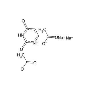 CC(=O)[O-].CC(=O)[O-].O=c1cc[nH]c(=O)[nH]1.[Na+].[Na+]